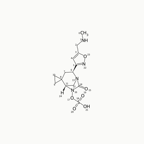 CNCc1cc([C@@H]2CC3(CC3)[C@@H]3CN2C(=O)N3OS(=O)(=O)O)no1